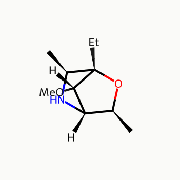 CC[C@]12O[C@@H](C)[C@H](N[C@H]1C)[C@@H]2OC